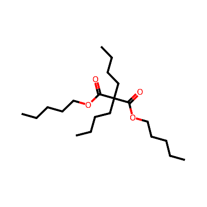 CCCCCOC(=O)C(CCCC)(CCCC)C(=O)OCCCCC